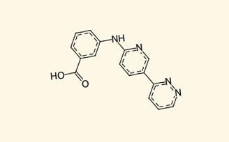 O=C(O)c1cccc(Nc2ccc(-c3cccnn3)cn2)c1